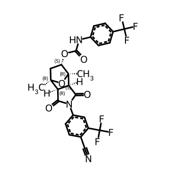 C[C@]12O[C@](C)(C[C@@H]1OC(=O)Nc1ccc(C(F)(F)F)cc1)[C@@H]1C(=O)N(c3ccc(C#N)c(C(F)(F)F)c3)C(=O)[C@@H]12